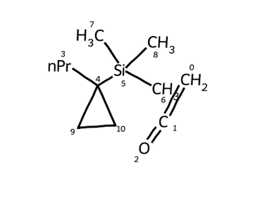 C=C=O.CCCC1([Si](C)(C)C)CC1